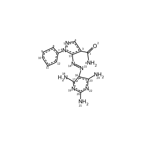 NC(=O)c1cnn(-c2ccccc2)c1/N=N/c1c(N)nc(N)nc1N